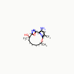 C[C@@H]1CCCCC[C@](O)(C(F)(F)F)c2nnc(o2)-c2nc(c(C(F)(F)F)cc2N)O1